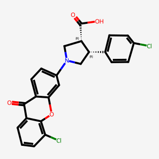 O=C(O)[C@H]1CN(c2ccc3c(=O)c4cccc(Cl)c4oc3c2)C[C@H]1c1ccc(Cl)cc1